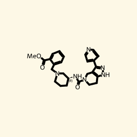 COC(=O)c1ccccc1CN1CCC[C@@H](NC(=O)N2CCc3[nH]nc(-c4ccncc4)c3C2)C1